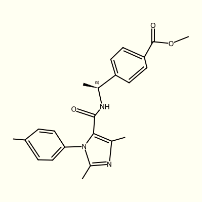 COC(=O)c1ccc([C@H](C)NC(=O)c2c(C)nc(C)n2-c2ccc(C)cc2)cc1